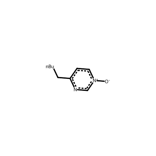 CCCCCc1cc[n+]([O-])cn1